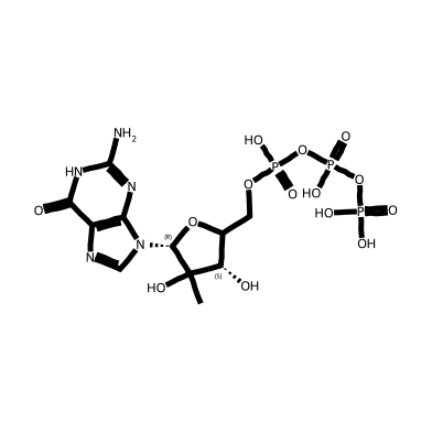 CC1(O)[C@@H](O)C(COP(=O)(O)OP(=O)(O)OP(=O)(O)O)O[C@H]1n1cnc2c(=O)[nH]c(N)nc21